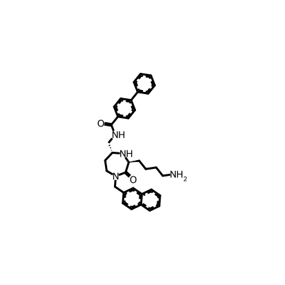 NCCCC[C@@H]1N[C@@H](CNC(=O)c2ccc(-c3ccccc3)cc2)CCN(Cc2ccc3ccccc3c2)C1=O